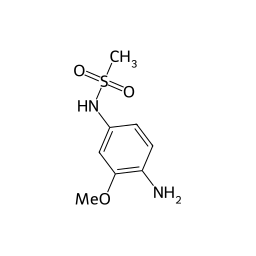 COc1cc(NS(C)(=O)=O)ccc1N